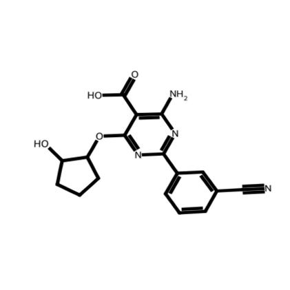 N#Cc1cccc(-c2nc(N)c(C(=O)O)c(OC3CCCC3O)n2)c1